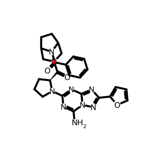 Nc1nc(N2CCC[C@H]2C(=O)N2CC3CCC(C2)N3C(=O)c2ccccc2)nc2nc(-c3ccco3)nn12